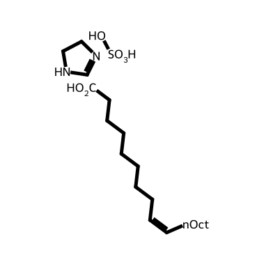 C1=NCCN1.CCCCCCCC/C=C\CCCCCCCC(=O)O.O=S(=O)(O)O